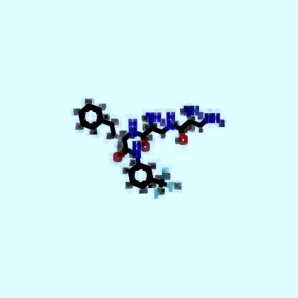 NC[C@@H](N)C(=O)NC[C@H](N)C(=O)N[C@@H](CCc1ccccc1)C(=O)Nc1cccc(C(F)(F)F)c1